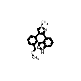 COCc1cccc(-c2cn(C)nc2-c2cccc3[nH]ncc23)c1